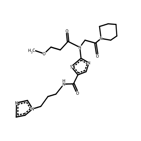 COCCC(=O)N(CC(=O)N1CCCCC1)c1ncc(C(=O)NCCCn2ccnc2)s1